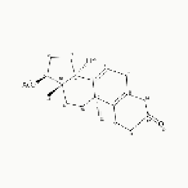 CC(=O)O[C@H]1CC[C@H]2C3=CCC4=C(CCC(=O)C4)[C@H]3CC[C@]12C